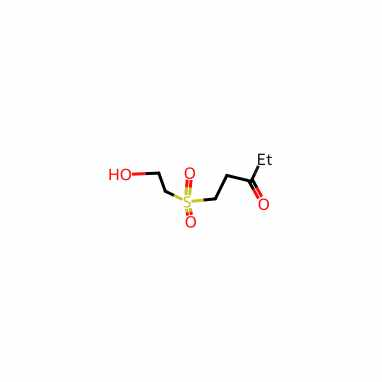 CCC(=O)CCS(=O)(=O)CCO